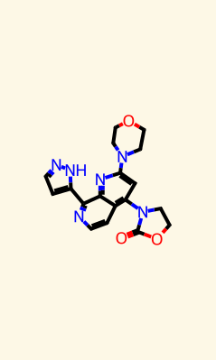 O=C1OCCN1c1cc(N2CCOCC2)nc2c(-c3ccn[nH]3)nccc12